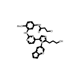 COc1ccc(NC(=O)CCCl)cc1Nc1nccc(-c2cnc(CCCO)n2-c2coc3cccc-3c2)n1